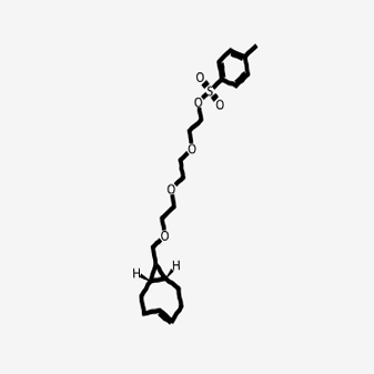 Cc1ccc(S(=O)(=O)OCCOCCOCCOCC2[C@H]3CC/C=C/CC[C@@H]23)cc1